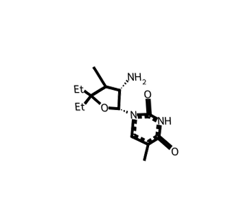 CCC1(CC)O[C@@H](n2cc(C)c(=O)[nH]c2=O)[C@@H](N)C1C